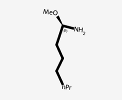 CCCCCC[C@H](N)OC